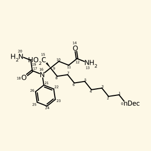 CCCCCCCCCCCCCCCCCC[C@](CCC(N)=O)(C(=O)O)N(C(=O)CN)c1ccccc1